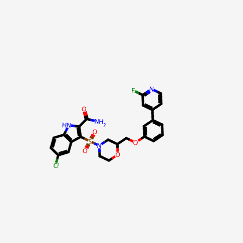 NC(=O)c1[nH]c2ccc(Cl)cc2c1S(=O)(=O)N1CCOC(COc2cccc(-c3ccnc(F)c3)c2)C1